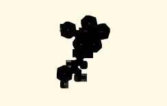 O=C(NC(CO)c1cccc(Cl)c1)c1nc2cc3c(-c4ccncc4)nn(C(c4ccccc4)(c4ccccc4)c4ccccc4)c3cc2[nH]1